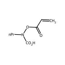 C=CC(=O)ON(CCC)C(=O)O